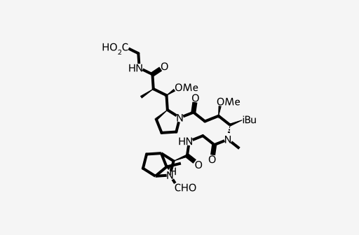 CC[C@H](C)[C@@H]([C@@H](CC(=O)N1CCC[C@H]1[C@H](OC)[C@@H](C)C(=O)NCC(=O)O)OC)N(C)C(=O)CNC(=O)[C@@H]1C2CCC([C@H]2C)N1C=O